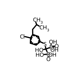 CC(C)Cc1cc(SC(O)(P(=O)(O)O)P(=O)(O)O)ccc1Cl